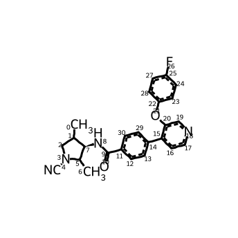 CC1CN(C#N)C(C)[C@@H]1NC(=O)c1ccc(-c2ccncc2Oc2ccc(F)cc2)cc1